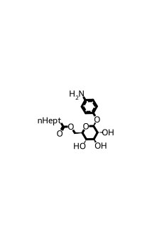 CCCCCCCC(=O)OC[C@H]1O[C@@H](Oc2ccc(N)cc2)[C@H](O)[C@@H](O)[C@@H]1O